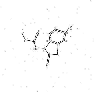 CCC(=O)NN1C(=O)Cc2cc(Br)ccc21